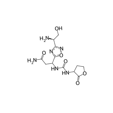 NC(=O)CC(NC(=O)NC1CCOC1=O)c1nc([C@@H](N)CO)no1